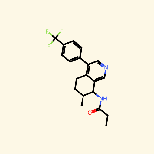 CCC(=O)NC1c2cncc(-c3ccc(C(F)(F)F)cc3)c2CC[C@@H]1C